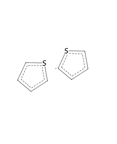 [c]1cccs1.c1ccsc1